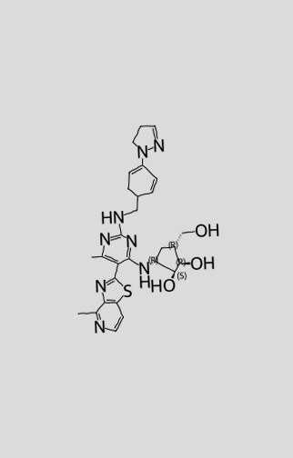 Cc1nc(NCC2C=CC(N3CCC=N3)=CC2)nc(N[C@@H]2C[C@H](CO)[C@@H](O)[C@H]2O)c1-c1nc2c(C)nccc2s1